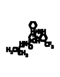 CN(C)CCNC(=O)[C@H]1CC[C@@H]2[C@H](O1)c1cc(C(F)(F)F)ccc1N[C@H]2C1C=CC=CC1